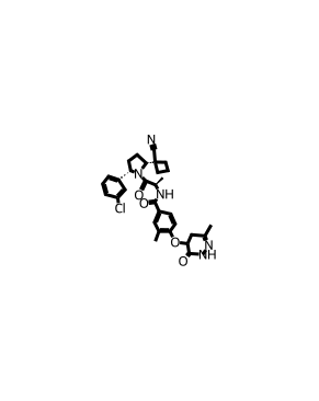 CC1=NNC(=O)C(Oc2ccc(C(=O)N[C@H](C)C(=O)N3[C@H](c4cccc(Cl)c4)CC[C@@H]3C3(C#N)CCC3)cc2C)C1